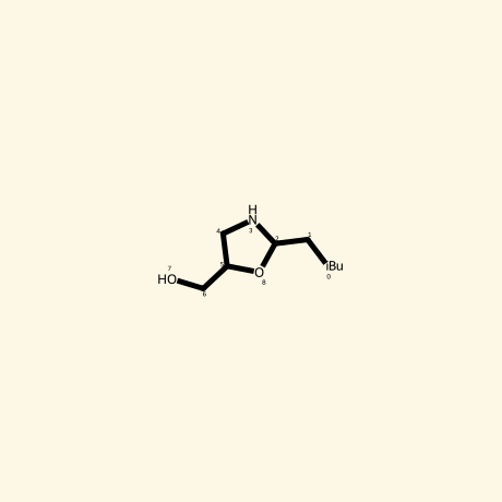 CCC(C)CC1NCC(CO)O1